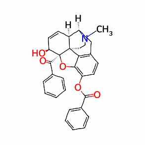 CN1CC[C@]23c4c5ccc(OC(=O)c6ccccc6)c4O[C@@]2(C(=O)c2ccccc2)[C@@H](O)C=C[C@H]3[C@H]1C5